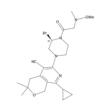 CON(C)CC(=O)N1CCN(c2nc(C3CC3)c3c(c2C#N)CC(C)(C)OC3)C[C@H]1C(C)C